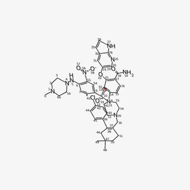 CN1CCN(Nc2ccc(S(=O)(=O)[N+]3(c4ccc(C(N)=O)c(Oc5cnc6[nH]ccc6c5)c4)CCN(CC4=C(c5ccc(Cl)cc5)CC(C)(C)CC4)CC3)cc2[N+](=O)[O-])CC1